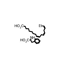 CC/C=C\C/C=C\C/C=C\CCCCCCCC(=O)O.N[C@@H](Cc1ccccc1)C(=O)O